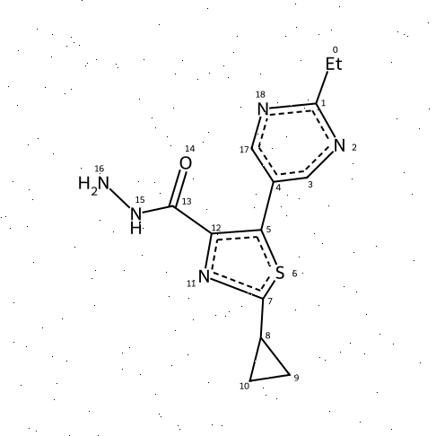 CCc1ncc(-c2sc(C3CC3)nc2C(=O)NN)cn1